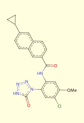 COc1cc(NC(=O)c2ccc3cc(C4CC4)ccc3c2)c(-n2nn[nH]c2=O)cc1Cl